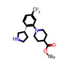 CC(C)(C)OC(=O)C1CCN(c2cc(C(F)(F)F)ccc2[C@@H]2CCNC2)CC1